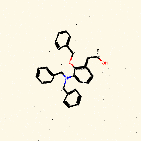 C[C@H](O)Cc1cccc(N(Cc2ccccc2)Cc2ccccc2)c1OCc1ccccc1